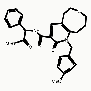 COC(=O)[C@H](NC(=O)c1cc2c(n(Cc3ccc(OC)cc3)c1=O)CCCCCC2)c1ccccc1